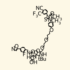 CC(C)(C)C(NC(=O)COCCCOCCCCOc1ccc(N2C(=S)N(c3ccc(C#N)c(C(F)(F)F)c3)C(=O)C2(C)C)cc1)C(=O)N1C[C@H](O)C[C@H]1C(=O)NCc1ccc(-c2cnco2)cc1F